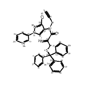 C#CCN(C(=O)C(=N)CSC(c1ccccc1)(c1ccccc1)c1ccccc1)c1cn(-c2cccnc2)nc1Cl